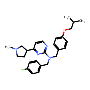 CC(C)COc1ccc(CN(Cc2ccc(F)cc2)c2nccc(C3CCN(C)C3)n2)cc1